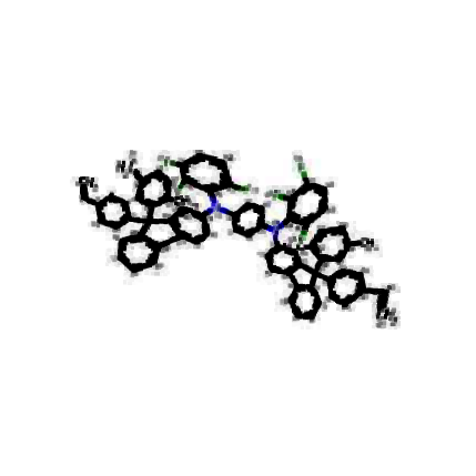 C=Cc1ccc(C2(c3cc(C)ccc3C)c3ccccc3-c3ccc(N(c4ccc(N(c5ccc6c(c5)C(c5ccc(C=C)cc5)(c5cc(C)ccc5C)c5ccccc5-6)c5c(F)ccc(F)c5F)cc4)c4c(F)ccc(F)c4F)cc32)cc1